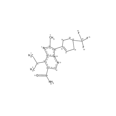 Cc1nc2c(C(C)C)c(C(N)=O)cnn2c1C1=CCC(C(F)(F)F)CC1